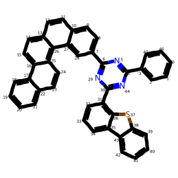 c1ccc(-c2nc(-c3ccc4ccc5ccc6c7ccccc7ccc6c5c4c3)nc(-c3cccc4c3sc3ccccc34)n2)cc1